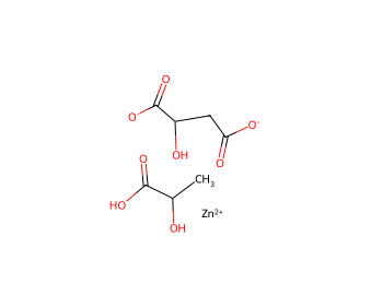 CC(O)C(=O)O.O=C([O-])CC(O)C(=O)[O-].[Zn+2]